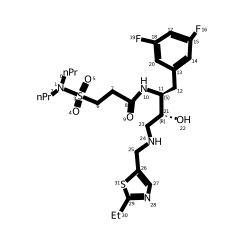 CCCN(CCC)S(=O)(=O)CCC(=O)N[C@@H](Cc1cc(F)cc(F)c1)[C@H](O)CNCc1cnc(CC)s1